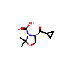 CC1(C)OC[C@H](C(=O)C2CC2)N1C(=O)O